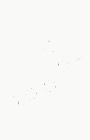 CN(C)C(=O)c1ccc(-c2cccc(Oc3ccc(C#N)cc3[S+]([O-])NC(=O)NC(C)(C)C)c2)cc1